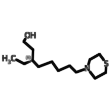 CC[C@@H](CCO)CCCCCN1CCSCC1